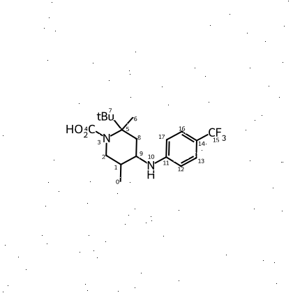 CC1CN(C(=O)O)C(C)(C(C)(C)C)CC1Nc1ccc(C(F)(F)F)cc1